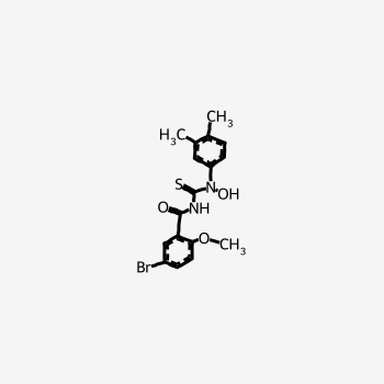 COc1ccc(Br)cc1C(=O)NC(=S)N(O)c1ccc(C)c(C)c1